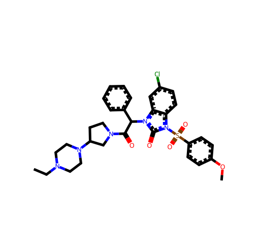 CCN1CCN(C2CCN(C(=O)C(c3ccccc3)n3c(=O)n(S(=O)(=O)c4ccc(OC)cc4)c4ccc(Cl)cc43)C2)CC1